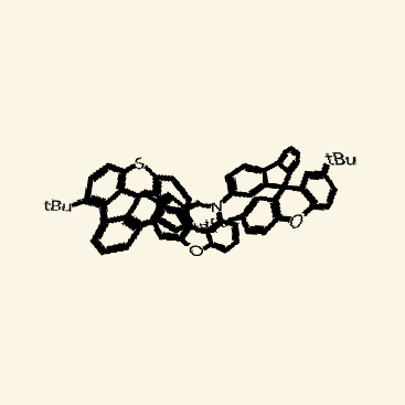 CC(C)(C)c1ccc2c(c1)C1(c3cc(C(C)(C)C)ccc3O2)c2ccccc2-c2ccc(N(Cc3ccc4c(c3)C35c6cc(C(C)(C)C)ccc6Sc6ccc(C(C)(C)C)c(c63)-c3cccc-4c35)c3cccc4oc5ccccc5c34)cc21